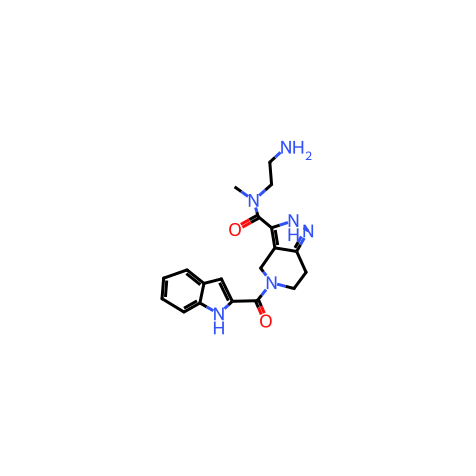 CN(CCN)C(=O)c1[nH]nc2c1CN(C(=O)c1cc3ccccc3[nH]1)CC2